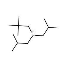 CC(C)C[SiH](CC(C)C)CC(C)(C)C